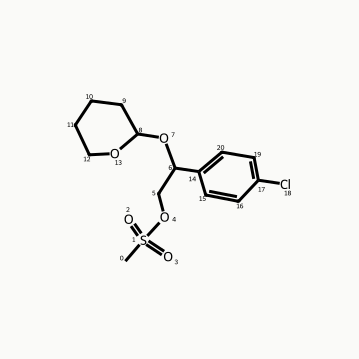 CS(=O)(=O)OCC(OC1CCCCO1)c1ccc(Cl)cc1